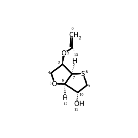 C=CO[C@@H]1CO[C@H]2[C@@H]1SC[C@@H]2O